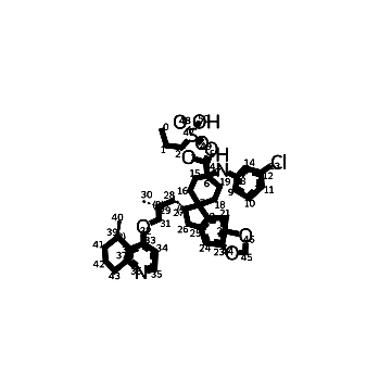 CCC(OC(=O)C1(Nc2cccc(Cl)c2)CCC2(CC1)c1cc3c(cc1C[C@@H]2C[C@@H](C)COc1ccnc2c1[C@H](C)CCC2)OCO3)S(=O)(=O)O